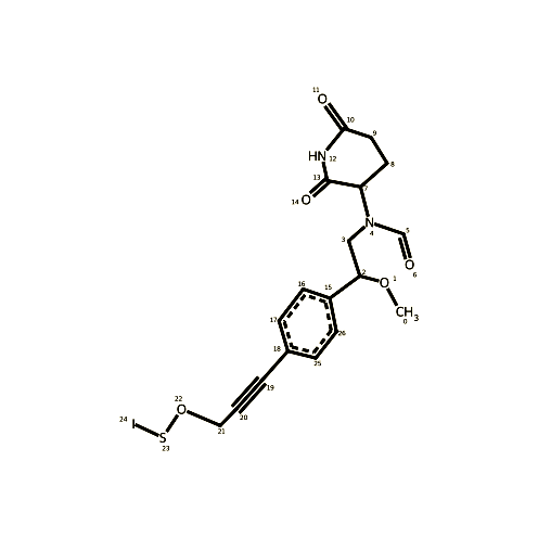 COC(CN(C=O)C1CCC(=O)NC1=O)c1ccc(C#CCOSI)cc1